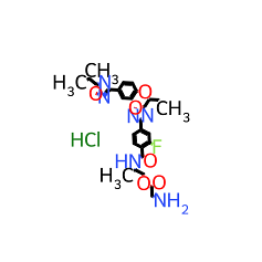 CCC(Oc1ccc(-c2noc(C(C)C)n2)cc1)c1nc(-c2ccc(C(=O)N[C@H](C)COC(=O)CN)c(F)c2)no1.Cl